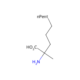 CCCCCCCCC(C)(N)C(=O)O